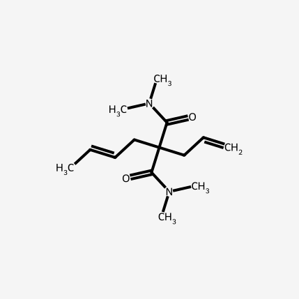 C=CCC(CC=CC)(C(=O)N(C)C)C(=O)N(C)C